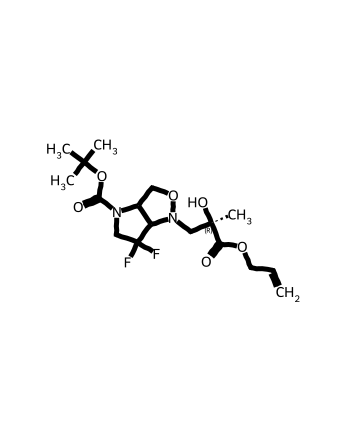 C=CCOC(=O)[C@](C)(O)CN1OCC2C1C(F)(F)CN2C(=O)OC(C)(C)C